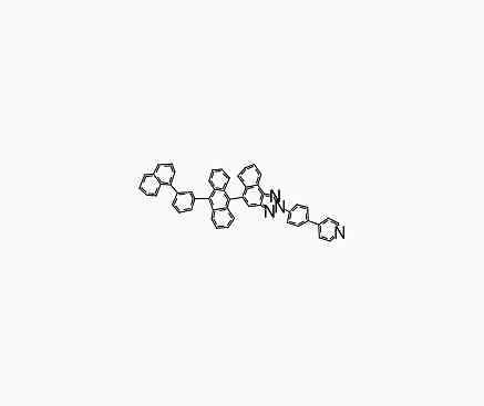 c1cc(-c2cccc3ccccc23)cc(-c2c3ccccc3c(-c3cc4nn(-c5ccc(-c6ccncc6)cc5)nc4c4ccccc34)c3ccccc23)c1